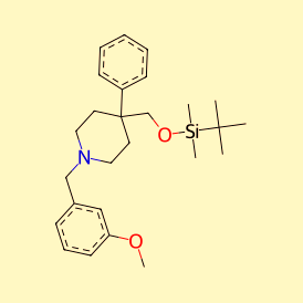 COc1cccc(CN2CCC(CO[Si](C)(C)C(C)(C)C)(c3ccccc3)CC2)c1